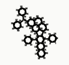 c1ccc(-c2c3c(c(-c4ccccc4)c4cc5ccccc5cc24)-c2cc4cc(P(c5ccccc5)c5ccccc5)cc5ccc6ccc-3c2c6c54)cc1